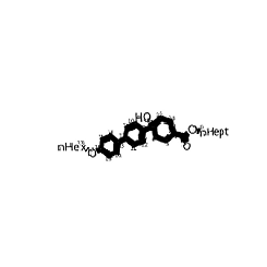 CCCCCCCOC(=O)C1CCC(O)(c2ccc(-c3ccc(OCCCCCC)cc3)cc2)CC1